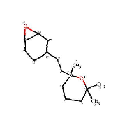 CC1(C)CCC[Si](C)(CCC2CCC3OC3C2)O1